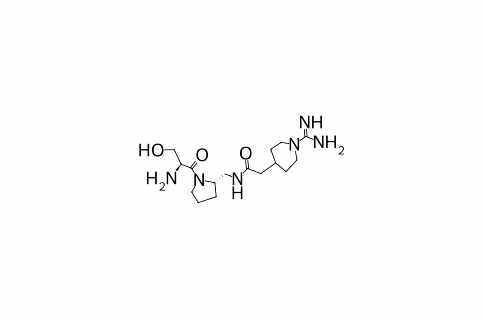 N=C(N)N1CCC(CC(=O)NC[C@@H]2CCCN2C(=O)[C@@H](N)CO)CC1